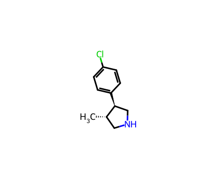 C[C@H]1CNC[C@@H]1c1ccc(Cl)cc1